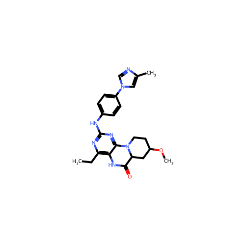 CCc1nc(Nc2ccc(-n3cnc(C)c3)cc2)nc2c1NC(=O)C1CC(OC)CCN21